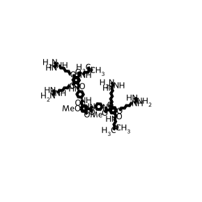 COc1cc(OC)c(C(=O)N[C@H]2CC[C@H](NC(=O)c3cc(C(=O)NCCN(C)C)c(OCCCCCNC(=N)N)cc3OCCCCCNC(=N)N)CC2)cc1C(=O)NC1CCC(NC(=O)c2cc(C(=O)NCCN(C)C)c(OCCCCCNC(=N)N)cc2OCCCCCNC(=N)N)CC1